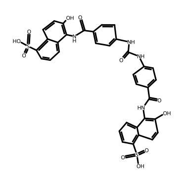 O=C(Nc1ccc(C(=O)Nc2c(O)ccc3c(S(=O)(=O)O)cccc23)cc1)Nc1ccc(C(=O)Nc2c(O)ccc3c(S(=O)(=O)O)cccc23)cc1